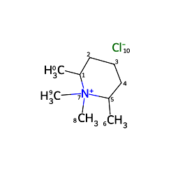 CC1CCCC(C)[N+]1(C)C.[Cl-]